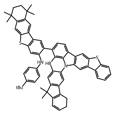 CC(C)(C)c1ccc(Nc2cc3sc4cc5c(cc4c3cc2-c2ccc3c4cc6sc7ccccc7c6cc4n4c3c2Bc2cc3c(cc2-4)C2=C(C=CCC2)C3(C)C)C(C)(C)CCC5(C)C)cc1